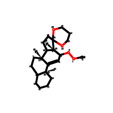 CC(C)(C)OOC1C=C2[C@@H](CCC3CCCC[C@]23C)C2CCC3(OCCCO3)[C@@H]12